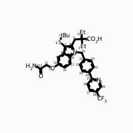 CCC(CC)(Cc1c(SC(C)(C)C)c2cc(OCC(N)=O)ccc2n1Cc1ccc(-c2ccc(C(F)(F)F)cn2)cc1)C(=O)O